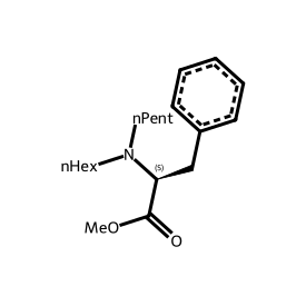 CCCCCCN(CCCCC)[C@@H](Cc1ccccc1)C(=O)OC